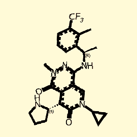 Cc1c([C@@H](C)Nc2nn(C)c(=O)c3c([C@@H]4CCCN4)c(=O)n(C4CC4)cc23)cccc1C(F)(F)F